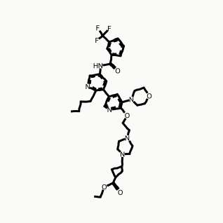 CCCCc1ncc(NC(=O)c2cccc(C(F)(F)F)c2)cc1-c1cnc(OCCN2CCN(C3CC(C(=O)OCC)C3)CC2)c(N2CCOCC2)c1